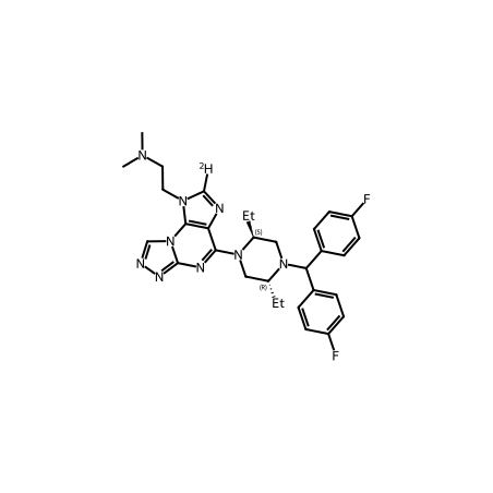 [2H]c1nc2c(N3C[C@@H](CC)N(C(c4ccc(F)cc4)c4ccc(F)cc4)C[C@@H]3CC)nc3nncn3c2n1CCN(C)C